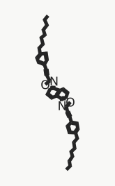 CCCCCCCCc1ccc(C#Cc2nc3c(ccc4c3ccc3oc(C#Cc5ccc(CCCCCCCC)cc5)nc34)o2)cc1